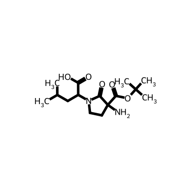 CC(C)CC(C(=O)O)N1CCC(N)(C(=O)OC(C)(C)C)C1=O